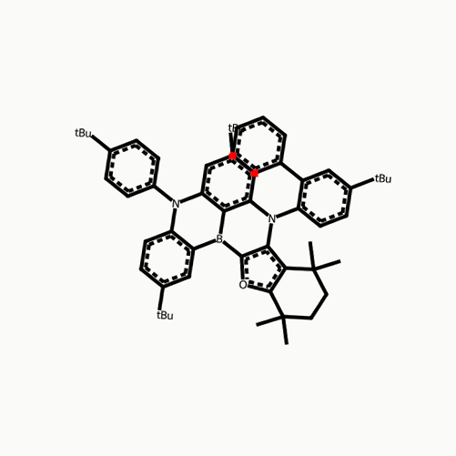 CC(C)(C)c1ccc(N2c3ccc(C(C)(C)C)cc3B3c4oc5c(c4N(c4ccc(C(C)(C)C)cc4-c4ccccc4)c4cc(C(C)(C)C)cc2c43)C(C)(C)CCC5(C)C)cc1